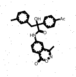 CC(=O)c1ccc(C(O)(Cc2cccc(C)c2)C(=O)Nc2ccc3c(=O)onc(C)c3c2)cc1